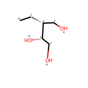 CC[C@H](CO)[C@@H](O)CO